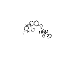 O=S(=O)(NCCOc1ccc2c(c1)C(C1(c3cccc(F)n3)CCC1)NCC2)c1cccs1